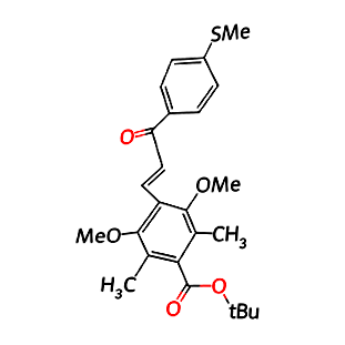 COc1c(C)c(C(=O)OC(C)(C)C)c(C)c(OC)c1C=CC(=O)c1ccc(SC)cc1